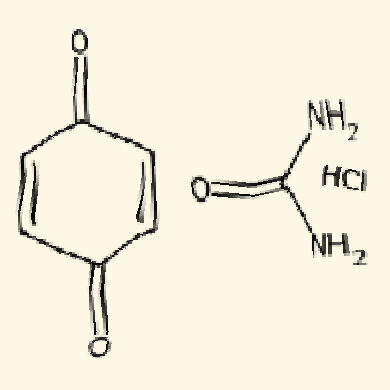 Cl.NC(N)=O.O=C1C=CC(=O)C=C1